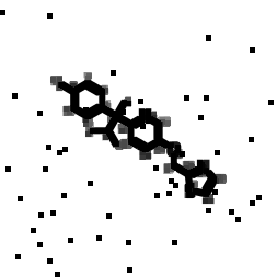 CC(C)C(C)(c1ccc(I)cc1)c1ccc(OCc2nccs2)cn1